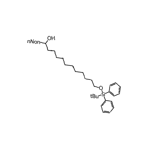 CCCCCCCCCC(O)CCCCCCCCCCCO[Si](c1ccccc1)(c1ccccc1)C(C)(C)C